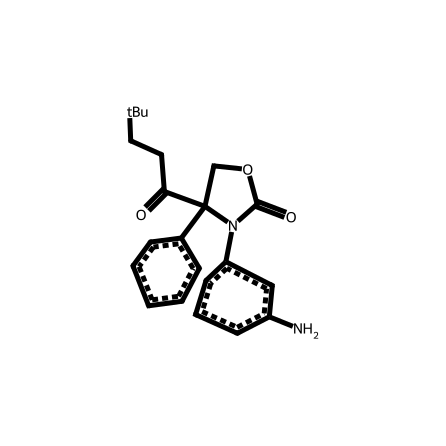 CC(C)(C)CCC(=O)C1(c2ccccc2)COC(=O)N1c1cccc(N)c1